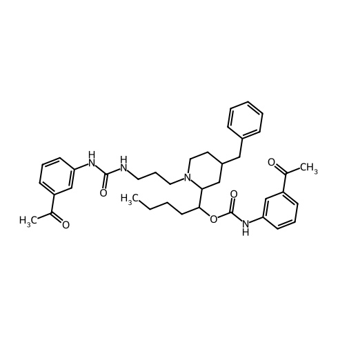 CCCCC(OC(=O)Nc1cccc(C(C)=O)c1)C1CC(Cc2ccccc2)CCN1CCCNC(=O)Nc1cccc(C(C)=O)c1